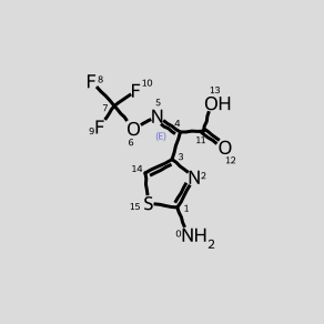 Nc1nc(/C(=N\OC(F)(F)F)C(=O)O)cs1